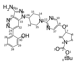 CC(C)(C)OC(=O)N1CCC(Oc2cnc(N3CCC(n4nc(N)c5nnc(-c6ccccc6O)cc54)CC3)nc2)C1